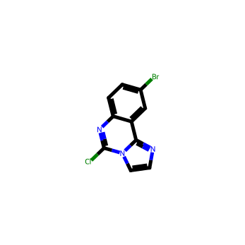 Clc1nc2ccc(Br)cc2c2nccn12